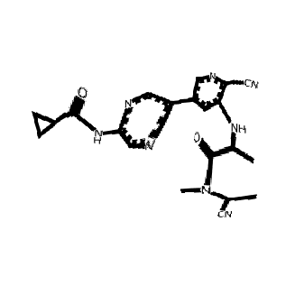 CC(Nc1cc(-c2cnc(NC(=O)C3CC3)cn2)cnc1C#N)C(=O)N(C)C(C)C#N